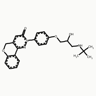 CC(C)(C)NCC(O)COc1ccc(-n2nc3c(cc2=O)COc2ccccc2-3)cc1